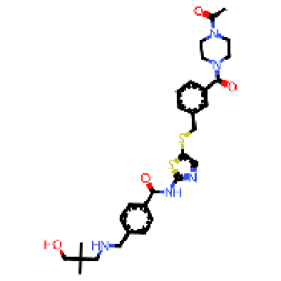 CC(=O)N1CCN(C(=O)c2cccc(CSc3cnc(NC(=O)c4ccc(CNCC(C)(C)CO)cc4)s3)c2)CC1